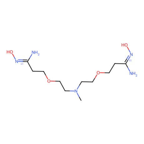 CN(CCOCC/C(N)=N/O)CCOCC/C(N)=N\O